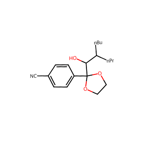 CCCCC(CCC)C(O)C1(c2ccc(C#N)cc2)OCCO1